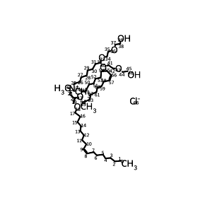 CCCCCCCC/C=C\CCCCCCCCOCC(C[N+](C)(C)CCCCCCCC(OCCOCCO)OCCOCCO)OCCCCCCCC/C=C\CCCCCCCC.[Cl-]